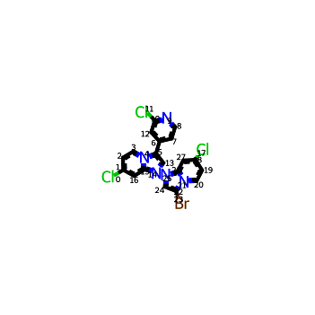 Clc1ccn2c(-c3ccnc(Cl)c3)cnc2c1.Clc1ccn2c(Br)cnc2c1